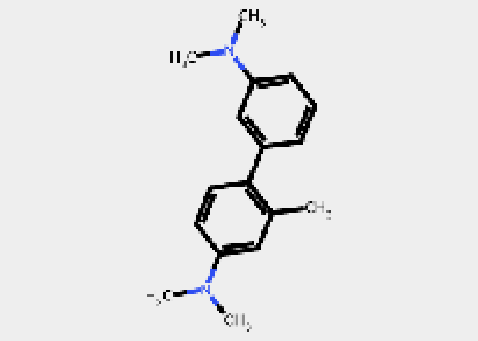 Cc1cc(N(C)C)ccc1-c1[c]ccc(N(C)C)c1